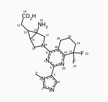 Cn1cncc1-c1nc(N2CC3C(CC(=O)O)C3(N)C2)c2c(n1)C(F)(F)CCC2